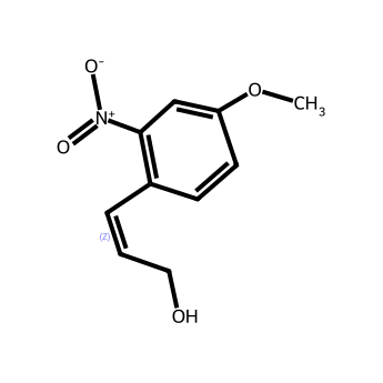 COc1ccc(/C=C\CO)c([N+](=O)[O-])c1